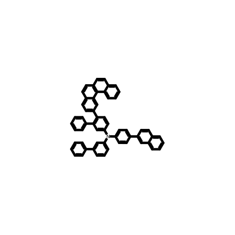 c1ccc(-c2cccc(N(c3ccc(-c4ccc5ccccc5c4)cc3)c3ccc(-c4ccc5ccc6ccc7ccccc7c6c5c4)c(-c4ccccc4)c3)c2)cc1